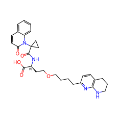 O=C(O)[C@H](CCOCCCCc1ccc2c(n1)NCCC2)NC(=O)C1(n2c(=O)ccc3ccccc32)CC1